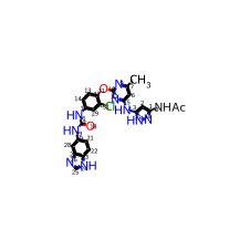 CC(=O)Nc1cc(Nc2cc(C)nc(Oc3ccc(NC(=O)Nc4ccc5[nH]cnc5c4)cc3Cl)n2)[nH]n1